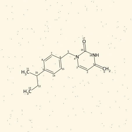 C=C1C=CN(Cc2ccc(C(C)CC)cc2)C(=O)N1